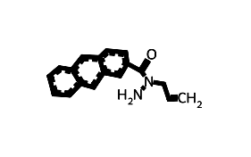 C=CCN(N)C(=O)c1ccc2cc3ccccc3cc2c1